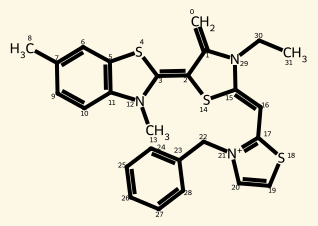 C=C1/C(=C2\Sc3cc(C)ccc3N2C)S/C(=C\c2scc[n+]2Cc2ccccc2)N1CC